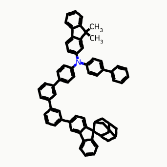 CC1(C)c2ccccc2-c2ccc(N(c3ccc(-c4ccccc4)cc3)c3ccc(-c4cccc(-c5cccc(-c6ccc7c(c6)-c6ccccc6C76C7CC8CC(C7)CC6C8)c5)c4)cc3)cc21